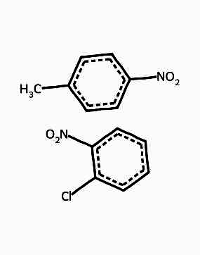 Cc1ccc([N+](=O)[O-])cc1.O=[N+]([O-])c1ccccc1Cl